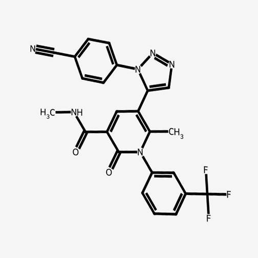 CNC(=O)c1cc(-c2cnnn2-c2ccc(C#N)cc2)c(C)n(-c2cccc(C(F)(F)F)c2)c1=O